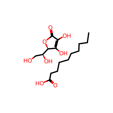 CCCCCCCCCC(=O)O.O=C1O[C@H]([C@@H](O)CO)C(O)=C1O